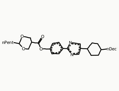 CCCCCCCCCCC1CCC(c2cnc(-c3ccc(OC(=O)C4COC(CCCCC)OC4)cc3)nc2)CC1